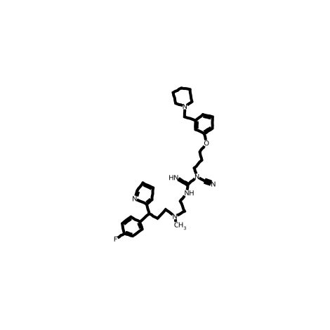 CN(CCNC(=N)N(C#N)CCCOc1cccc(CN2CCCCC2)c1)CCC(c1ccc(F)cc1)c1ccccn1